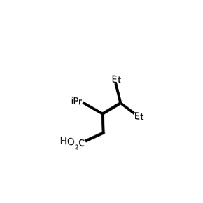 CCC(CC)C(CC(=O)O)C(C)C